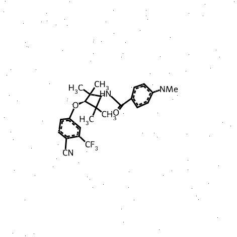 CNc1ccc(C(=O)N[C@H]2C(C)(C)[C@H](Oc3ccc(C#N)c(C(F)(F)F)c3)C2(C)C)cc1